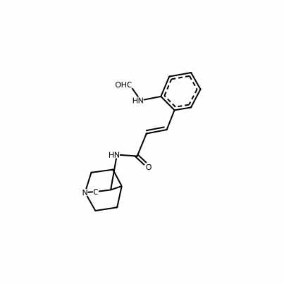 O=CNc1ccccc1/C=C/C(=O)NC1CN2CCC1CC2